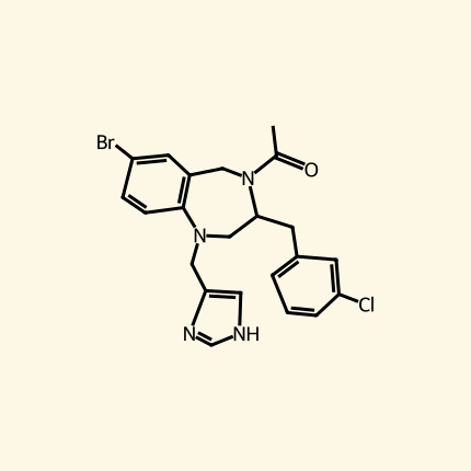 CC(=O)N1Cc2cc(Br)ccc2N(Cc2c[nH]cn2)CC1Cc1cccc(Cl)c1